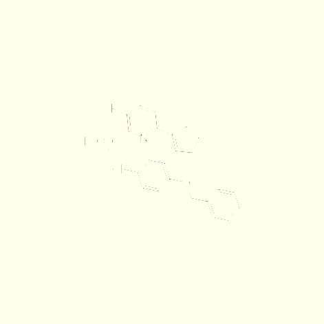 CCOC(=O)c1nc(C2=C(c3cc(Cl)ccc3OCc3ccccc3)CCC2)ccc1Cl